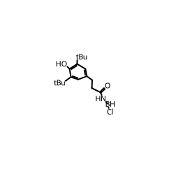 CC(C)(C)c1cc(CCC(=O)NBCl)cc(C(C)(C)C)c1O